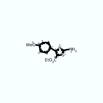 CCOC(=O)c1sc(N)nc1-c1ccc(OC)cc1